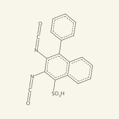 O=C=Nc1c(N=C=O)c(S(=O)(=O)O)c2ccccc2c1-c1ccccc1